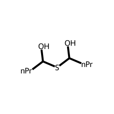 CCCC(O)SC(O)CCC